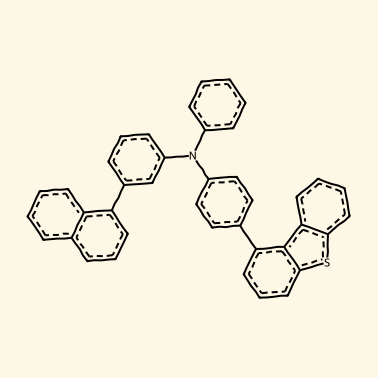 c1ccc(N(c2ccc(-c3cccc4sc5ccccc5c34)cc2)c2cccc(-c3cccc4ccccc34)c2)cc1